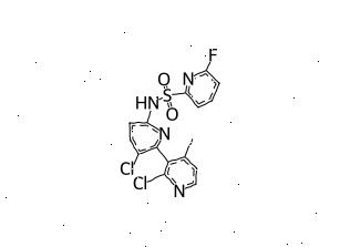 Cc1ccnc(Cl)c1-c1nc(NS(=O)(=O)c2cccc(F)n2)ccc1Cl